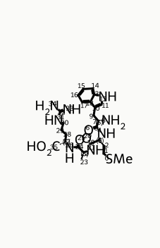 CSCC[C@H](NC(=O)[C@@H](N)Cc1c[nH]c2ccccc12)C(=O)N[C@@H](C)C(=O)N[C@@H](CCCNC(=N)N)C(=O)O